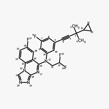 CC(C)(C#Cc1cc(F)cc(N(CC(F)F)c2nc3nncn3c3ccc(F)cc23)c1)C1CC1